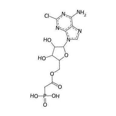 Nc1nc(Cl)nc2c1ncn2C1OC(COC(=O)CP(=O)(O)O)C(O)C1O